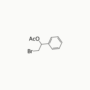 CC(=O)OC(CBr)c1ccccc1